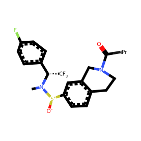 CC(C)C(=O)N1CCc2ccc([S+]([O-])N(C)[C@H](c3ccc(F)cc3)C(F)(F)F)cc2C1